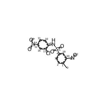 Cc1ccc(S(=O)(=O)Nc2ccc([N+](=O)[O-])cc2Cl)cc1N=O